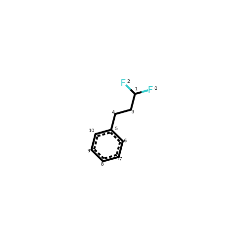 FC(F)CCc1c[c]ccc1